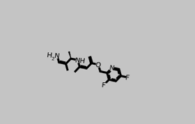 C=C(/C=C(/C)N[C@H](C)/C(C)=C\N)OCc1ncc(F)cc1F